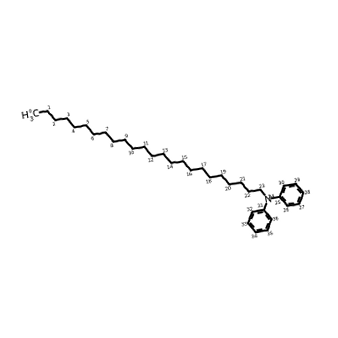 CCCCCCCCCCCCCCCCCCCCCCCCN(c1ccccc1)c1ccccc1